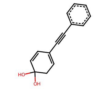 OC1(O)C=CC(C#Cc2ccccc2)=CC1